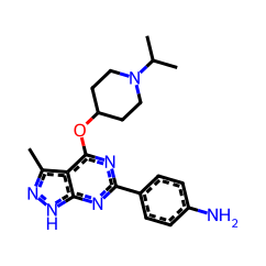 Cc1n[nH]c2nc(-c3ccc(N)cc3)nc(OC3CCN(C(C)C)CC3)c12